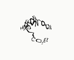 CCOC(=O)CCCCCC(C)NS(=O)(=O)c1ccc2c(c1)nc(Cc1ccc(C#N)cc1)n2C